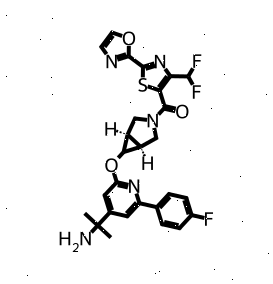 CC(C)(N)c1cc(OC2[C@H]3CN(C(=O)c4sc(-c5ncco5)nc4C(F)F)C[C@@H]23)nc(-c2ccc(F)cc2)c1